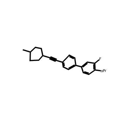 CCCc1ccc(-c2ccc(C#CC3CCC(C)CC3)cc2)cc1F